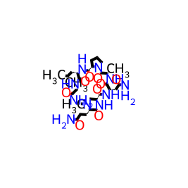 CC(C)C[C@H](NC(=O)[C@@H]1CCCN1C(=O)C(C)NC(=O)[C@H](CC(N)=O)NC(=O)[C@H]1CN(C)[C@@H](CCC(N)=O)C(=O)N1)C(=O)NCC(N)=O